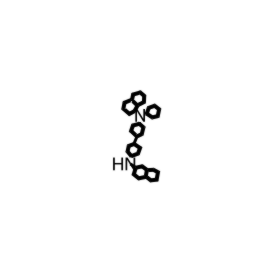 c1ccc(N(c2ccc(-c3ccc(Nc4ccc5ccccc5c4)cc3)cc2)c2cccc3ccccc23)cc1